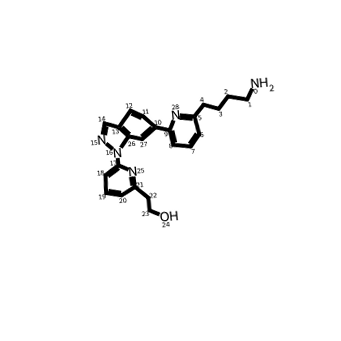 NCCCCc1cccc(-c2ccc3cnn(-c4cccc(CCO)n4)c3c2)n1